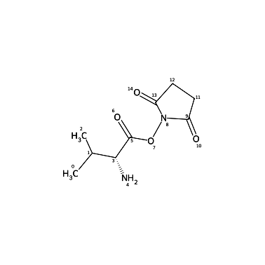 CC(C)[C@@H](N)C(=O)ON1C(=O)CCC1=O